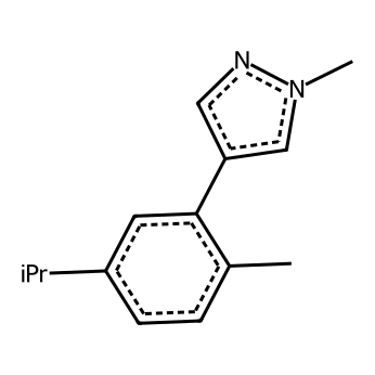 Cc1ccc(C(C)C)cc1-c1cnn(C)c1